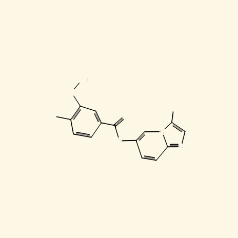 COc1cc(C(=O)Nc2ccc3ncc(Br)n3c2)ccc1F